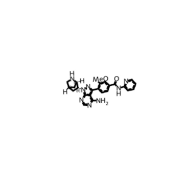 COc1cc(C(=O)Nc2ccccn2)ccc1-c1nn([C@@H]2C[C@@H]3CN[C@@H]2C3)c2ncnc(N)c12